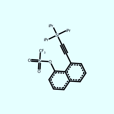 CC(C)[Si](C#Cc1cccc2cccc(OS(=O)(=O)C(F)(F)F)c12)(C(C)C)C(C)C